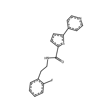 O=C(NCCc1ccccc1F)c1ccc(-c2ccncc2)s1